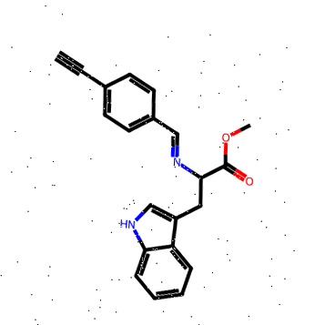 C#Cc1ccc(/C=N/C(Cc2c[nH]c3ccccc23)C(=O)OC)cc1